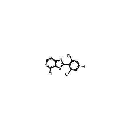 Clc1cc(I)cc(Cl)c1-c1nc2ccnc(Cl)c2s1